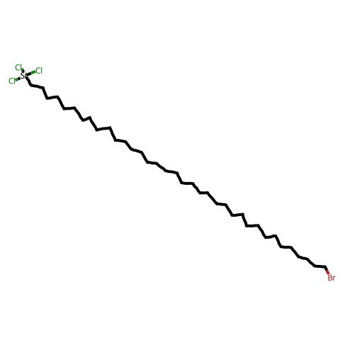 Cl[Si](Cl)(Cl)CCCCCCCCCCCCCCCCCCCCCCCCCCCCCCCCCCCCBr